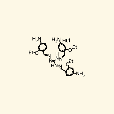 CCOc1cc(N)ccc1C=NN=C(NN=Cc1ccc(N)cc1OCC)NN=Cc1ccc(N)cc1OCC.Cl